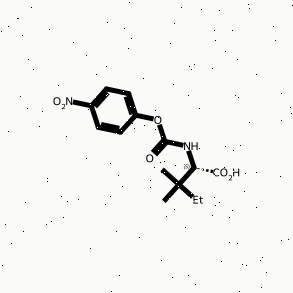 CCC(C)(C)[C@H](NC(=O)Oc1ccc([N+](=O)[O-])cc1)C(=O)O